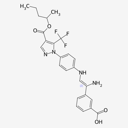 CCCC(C)OC(=O)c1cnn(-c2ccc(N/C=C(\N)c3cccc(C(=O)O)c3)cc2)c1C(F)(F)F